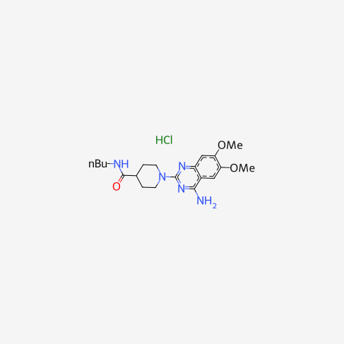 CCCCNC(=O)C1CCN(c2nc(N)c3cc(OC)c(OC)cc3n2)CC1.Cl